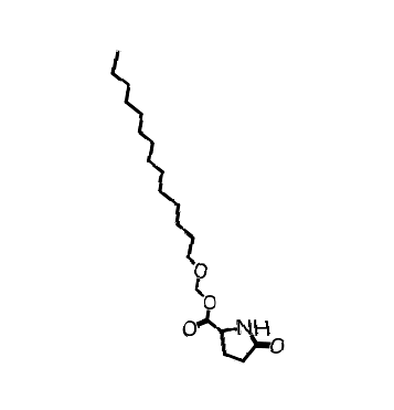 CCCCCCCCCCCCCCOCOC(=O)C1CCC(=O)N1